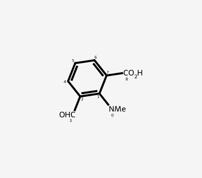 CNc1c(C=O)cccc1C(=O)O